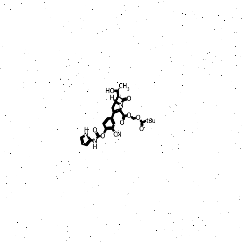 C[C@@H](O)[C@H]1C(=O)N2C(C(=O)OCOC(=O)C(C)(C)C)=C(c3ccc(OC(=O)Nc4ccc[nH]4)c(C#N)c3)C[C@H]12